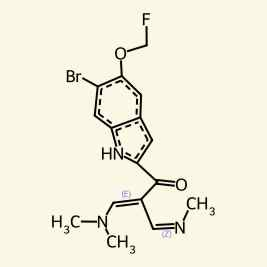 C/N=C\C(=C/N(C)C)C(=O)c1cc2cc(OCF)c(Br)cc2[nH]1